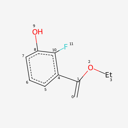 C=C(OCC)c1cccc(O)c1F